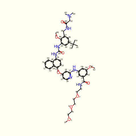 COCCOCCOCCNC(=O)c1cc(Nc2cc(Oc3ccc(NC(=O)Nc4cc(C(C)(C)C)cc(CNC(=O)CN(C)C)c4OC)c4ccccc34)ccn2)cc(OC)c1